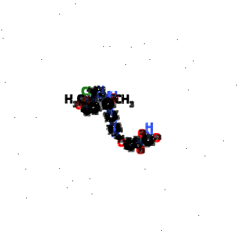 COc1cc(N2CCC(N3CCN(CCOc4ccc5c(c4)CN(C4CCC(=O)NC4=O)C5=O)CC3)CC2)ccc1Nc1ncc(Cl)c(Nc2cccc3c2N(S(C)(=O)=O)CC3)n1